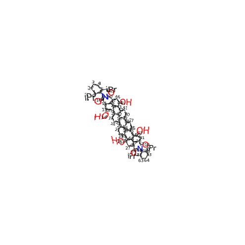 CC(C)c1cccc(C(C)C)c1N1C(=O)c2cc(O)c3c4ccc5c6ccc7c8c(O)cc9c%10c(cc(O)c(c%11ccc(c%12ccc(c%13c(O)cc(c2c3%13)C1=O)c4c5%12)c6c7%11)c%108)C(=O)N(c1c(C(C)C)cccc1C(C)C)C9=O